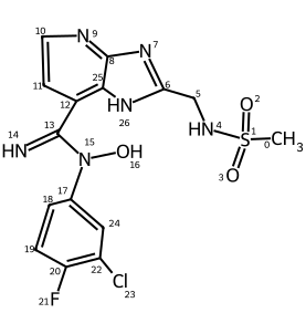 CS(=O)(=O)NCc1nc2nccc(C(=N)N(O)c3ccc(F)c(Cl)c3)c2[nH]1